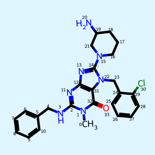 Cn1c(NCc2ccccc2)nc2nc(N3CCCC(N)C3)n(Cc3ccccc3Cl)c2c1=O